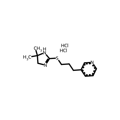 CC1(C)CN=C(SCCCc2cccnc2)N1.Cl.Cl